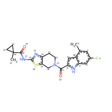 Cc1cc(F)cc2[nH]c(C(=O)N3CCc4nc(NC(=O)C5(C)CC5)sc4C3)cc12